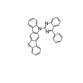 c1ccc(-c2nc(-n3c4ccccc4c4cc5sc6ccccc6c5cc43)nc3ccccc23)cc1